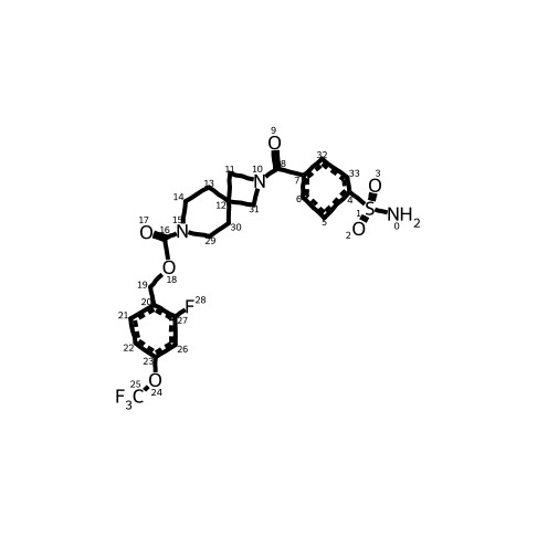 NS(=O)(=O)c1ccc(C(=O)N2CC3(CCN(C(=O)OCc4ccc(OC(F)(F)F)cc4F)CC3)C2)cc1